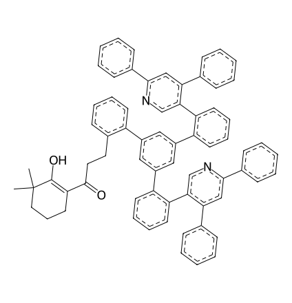 CC1(C)CCCC(C(=O)CCc2ccccc2-c2cc(-c3ccccc3-c3cnc(-c4ccccc4)cc3-c3ccccc3)cc(-c3ccccc3-c3cnc(-c4ccccc4)cc3-c3ccccc3)c2)=C1O